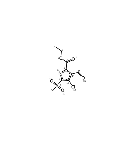 CCOC(=O)c1[nH]c(S(C)(=O)=O)c(Cl)c1C=O